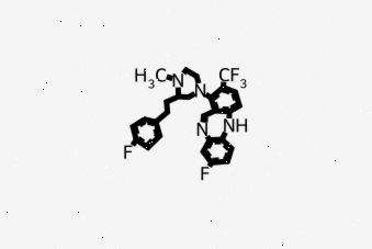 CN1CCN(c2c(C(F)(F)F)ccc3c2C=Nc2cc(F)ccc2N3)CC1CCc1ccc(F)cc1